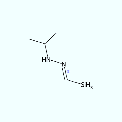 CC(C)N/N=C/[SiH3]